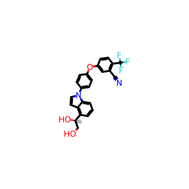 N#Cc1cc(Oc2ccc(-n3ccc4c([C@H](O)CO)cccc43)cc2)ccc1C(F)(F)F